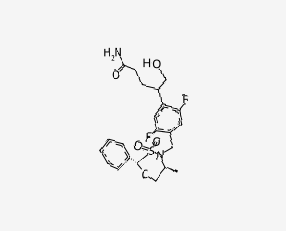 C[C@H]1CC[C@H](c2ccccc2)S(=O)(=O)N1Cc1cc(F)c(C(CO)CCC(N)=O)cc1F